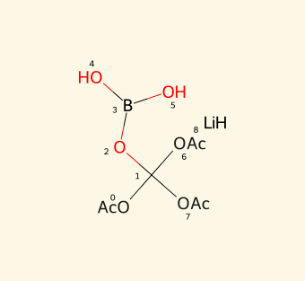 CC(=O)OC(OB(O)O)(OC(C)=O)OC(C)=O.[LiH]